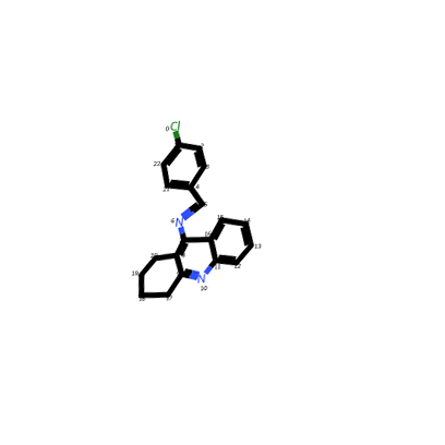 Clc1ccc(C=Nc2c3c(nc4ccccc24)CCCC3)cc1